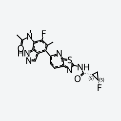 CC(=O)N(C)c1c(F)c(C)c(-c2ccc3nc(NC(=O)[C@@H]4C[C@@H]4F)sc3n2)c2cn[nH]c12